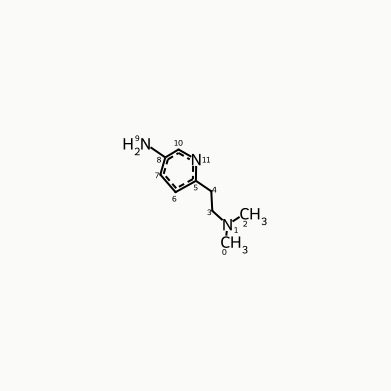 CN(C)CCc1ccc(N)cn1